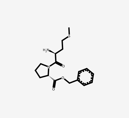 CSCC[C@H](N)C(=O)N1CCC[C@H]1C(=O)OCc1ccccc1